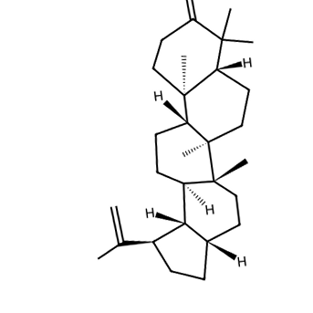 C=C(C)[C@@H]1CC[C@H]2CC[C@]3(C)[C@H](CC[C@@H]4[C@@]5(C)CCC(=O)C(C)(C)[C@@H]5CC[C@]43C)[C@H]21